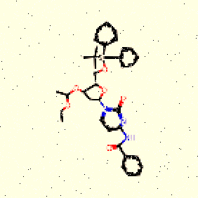 CCOC(C)O[C@@H]1C[C@H](n2ccc(NC(=O)c3ccccc3)nc2=O)O[C@@H]1CO[Si](c1ccccc1)(c1ccccc1)C(C)(C)C